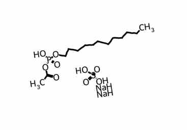 CCCCCCCCCCCCOP(=O)(O)OC(C)=O.O=S(=O)(O)O.[NaH].[NaH]